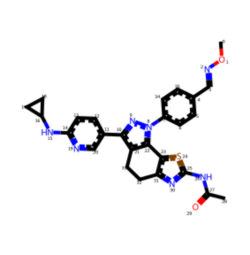 CO/N=C/c1ccc(-n2nc(-c3ccc(NC4CC4)nc3)c3c2-c2sc(NC(C)=O)nc2CC3)cc1